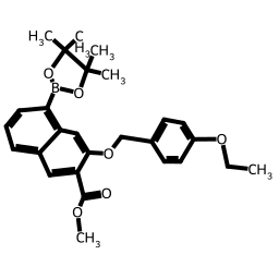 CCOc1ccc(COc2cc3c(B4OC(C)(C)C(C)(C)O4)cccc3cc2C(=O)OC)cc1